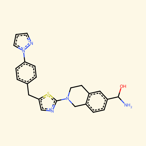 NC(O)c1ccc2c(c1)CCN(c1ncc(Cc3ccc(-n4cccn4)cc3)s1)C2